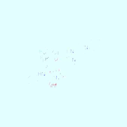 CC(C)CN(C[C@@H](O)[C@H](Cc1ccccc1)NC(=O)O[C@H]1CO[C@H]2OCC(F)(F)[C@H]21)S(=O)(=O)c1ccc2nc(NC3CCN(C4CCCC4)CC3)sc2c1